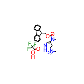 CN(C)CC[C@@H](CN)N(C)C(=O)OCC1c2ccccc2-c2ccccc21.O=C(O)C(F)(F)F